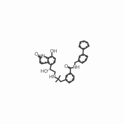 CC(C)(Cc1cccc(C(=O)NCc2cccc(-c3ccccc3)c2)c1)NC[C@H](O)c1ccc(O)c2[nH]c(=O)ccc12